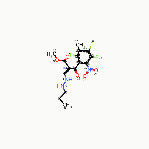 CCCNN/C=C(/C(=O)OC)C(=O)c1c(F)c(C)c(F)c(F)c1[N+](=O)[O-]